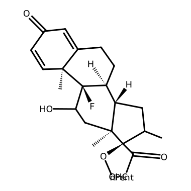 CCCCCO[C@]1(C(=O)C=O)C(C)C[C@H]2[C@@H]3CCC4=CC(=O)C=C[C@]4(C)[C@@]3(F)C(O)C[C@@]21C